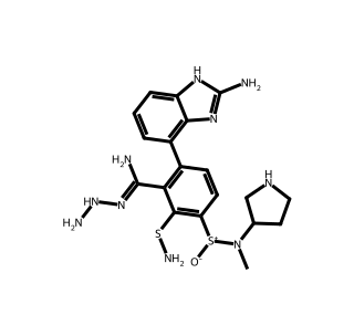 CN(C1CCNC1)[S+]([O-])c1ccc(-c2cccc3[nH]c(N)nc23)c(/C(N)=N/NN)c1SN